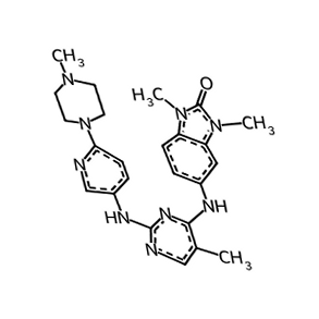 Cc1cnc(Nc2ccc(N3CCN(C)CC3)nc2)nc1Nc1ccc2c(c1)n(C)c(=O)n2C